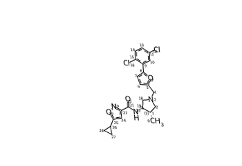 C[C@H]1CN(Cc2ccc(-c3cc(Cl)ccc3Cl)o2)C[C@H]1NC(=O)c1cc(C2CC2)on1